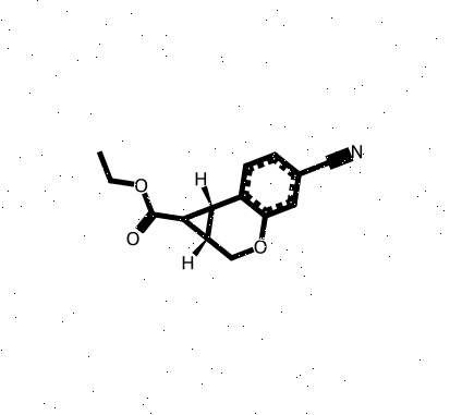 CCOC(=O)C1[C@H]2COc3cc(C#N)ccc3[C@@H]12